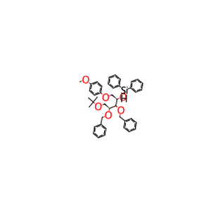 COc1ccc(OC[C@@H](O[SiH](c2ccccc2)c2ccccc2)[C@@H](OCc2ccccc2)[C@H](COC(C)(C)C)OCc2ccccc2)cc1